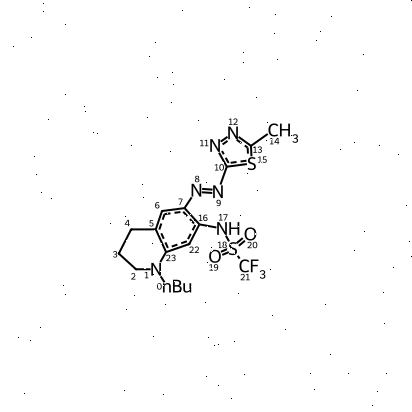 CCCCN1CCCc2cc(N=Nc3nnc(C)s3)c(NS(=O)(=O)C(F)(F)F)cc21